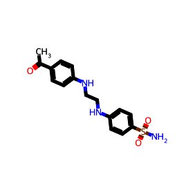 CC(=O)c1ccc(NCCNc2ccc(S(N)(=O)=O)cc2)cc1